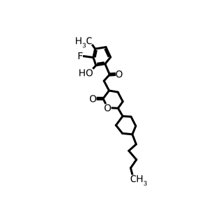 CCCCCC1CCC(C2CCC(CC(=O)c3ccc(C)c(F)c3O)C(=O)O2)CC1